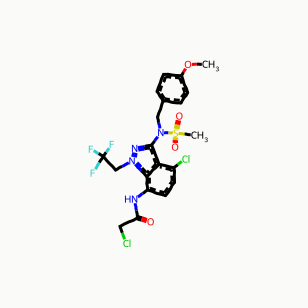 COc1ccc(CN(c2nn(CC(F)(F)F)c3c(NC(=O)CCl)ccc(Cl)c23)S(C)(=O)=O)cc1